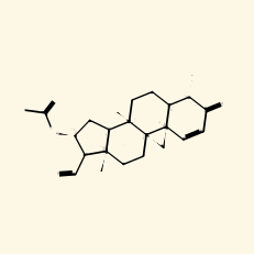 CC(=O)O[C@H]1C[C@@]2(C)[C@@H]3CC[C@H]4[C@H](C)C(=O)C=C[C@@]45C[C@@]35CC[C@]2(C)C1C=O